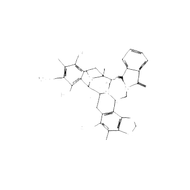 COc1c(C)c(Br)c2c(c1O)C1[C@@H]3Cc4c(OC(C)=O)c(C)c5c(c4[C@H](CN4C(=O)c6ccccc6C4=O)N3[C@@H](C#N)[C@@H](C2)N1C)OCO5